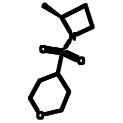 C[C@H]1CCN1S(=O)(=O)C1CCOCC1